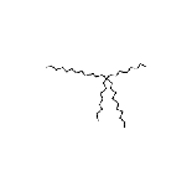 CCCCCCCCCCCCC(CCCCCCCC)(CCCCCCCC)CCCCCCCCCC